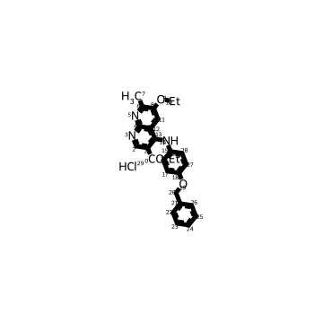 CCOC(=O)c1cnc2nc(C)c(OCC)cc2c1Nc1ccc(OCc2ccccc2)cc1.Cl